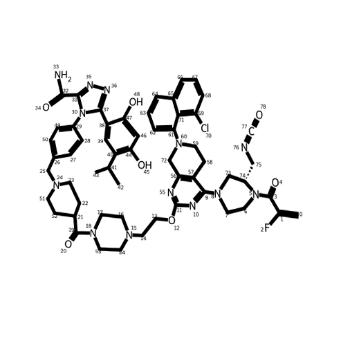 C=C(F)C(=O)N1CCN(c2nc(OCCN3CCN(C(=O)C4CCN(Cc5ccc(-n6c(C(N)=O)nnc6-c6cc(C(C)C)c(O)cc6O)cc5)CC4)CC3)nc3c2CCN(c2cccc4cccc(Cl)c24)C3)C[C@@H]1CN=C=O